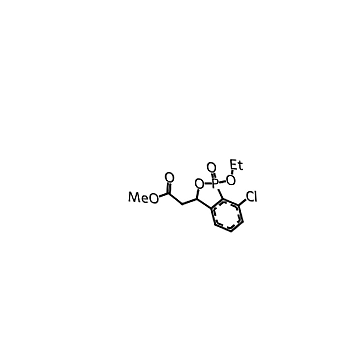 CCOP1(=O)OC(CC(=O)OC)c2cccc(Cl)c21